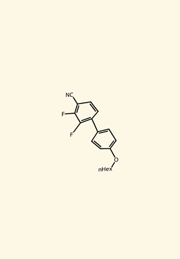 CCCCCCOc1ccc(-c2ccc(C#N)c(F)c2F)cc1